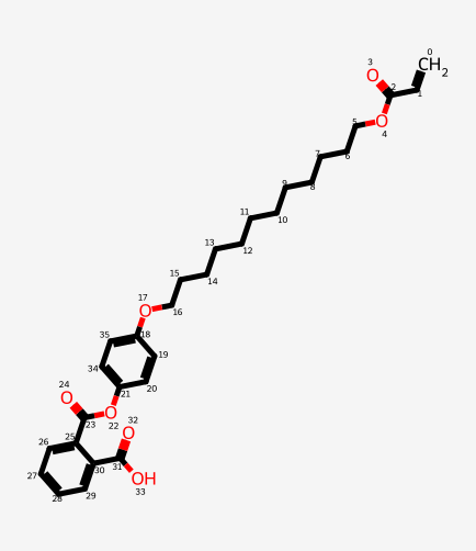 C=CC(=O)OCCCCCCCCCCCCOc1ccc(OC(=O)c2ccccc2C(=O)O)cc1